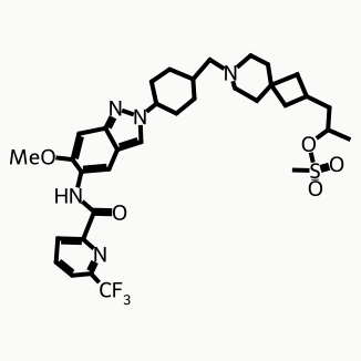 COc1cc2nn(C3CCC(CN4CCC5(CC4)CC(CC(C)OS(C)(=O)=O)C5)CC3)cc2cc1NC(=O)c1cccc(C(F)(F)F)n1